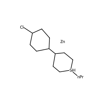 CCC[SiH]1CCC(C2CCC(Cl)CC2)CC1.[Zn]